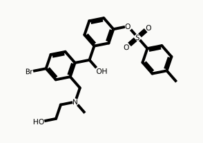 Cc1ccc(S(=O)(=O)Oc2cccc(C(O)c3ccc(Br)cc3CN(C)CCO)c2)cc1